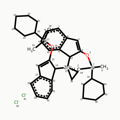 C[Si](C)(OC1=Cc2ccccc2[CH]1[Zr+2]1([CH]2C(O[Si](C)(C)C3CCCCC3)=Cc3ccccc32)[CH2][CH2]1)C1CCCCC1.[Cl-].[Cl-]